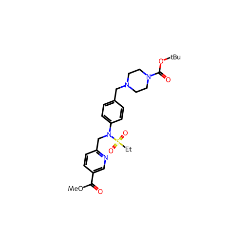 CCS(=O)(=O)N(Cc1ccc(C(=O)OC)cn1)c1ccc(CN2CCN(C(=O)OC(C)(C)C)CC2)cc1